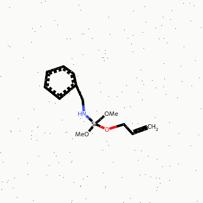 C=CCO[Si](NCc1ccccc1)(OC)OC